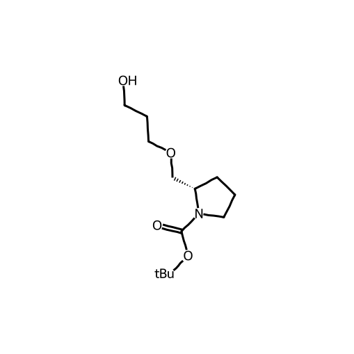 CC(C)(C)OC(=O)N1CCC[C@H]1COCCCO